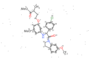 COC(=O)C(C)CCOc1cc(NC(C(=O)N2CCc3ccc(OC(F)(F)F)cc32)c2ccc(Cl)cc2)cc(OC)c1